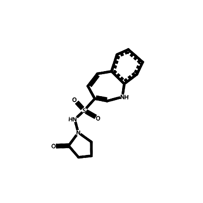 O=C1CCCN1NS(=O)(=O)C1=CNc2ccccc2C=C1